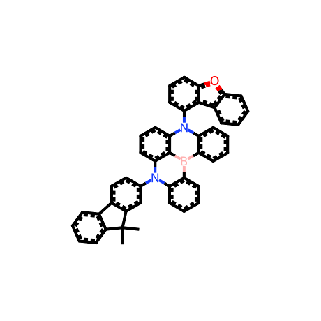 CC1(C)c2ccccc2-c2ccc(N3c4ccccc4B4c5ccccc5N(c5cccc6oc7ccccc7c56)c5cccc3c54)cc21